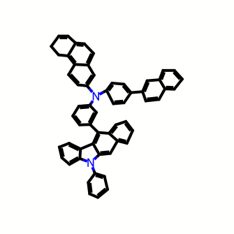 C1=Cc2ccc3cc(N(c4ccc(-c5ccc6ccccc6c5)cc4)c4cccc(-c5c6ccccc6cc6c5c5ccccc5n6-c5ccccc5)c4)ccc3c2CC1